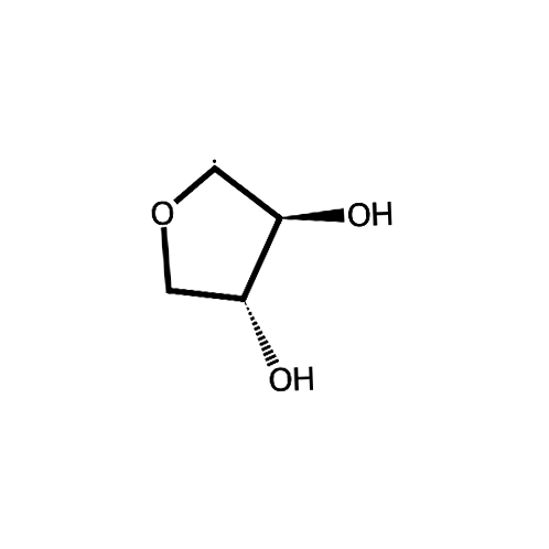 O[C@@H]1[CH]OC[C@H]1O